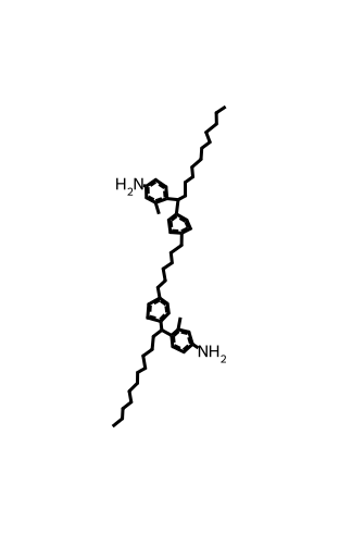 CCCCCCCCCCCC(c1ccc(CCCCCCc2ccc(C(CCCCCCCCCCC)c3ccc(N)cc3C)cc2)cc1)c1ccc(N)cc1C